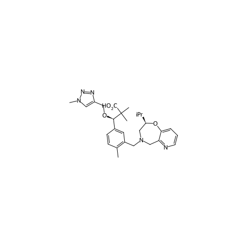 Cc1ccc([C@@H](OCc2cn(C)nn2)C(C)(C)C(=O)O)cc1CN1Cc2ncccc2O[C@H](C(C)C)C1